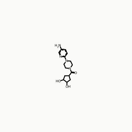 Nc1ccc(N2CCN(C(=O)C3CC(O)C(O)C3)CC2)nc1